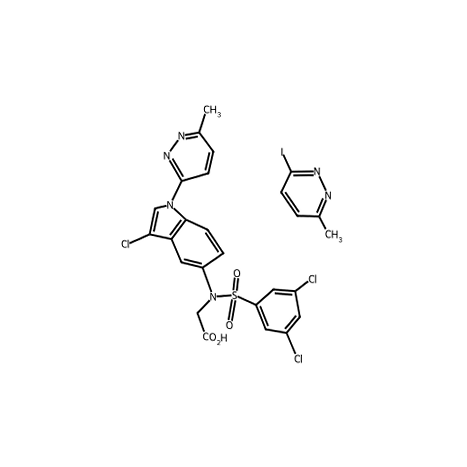 Cc1ccc(-n2cc(Cl)c3cc(N(CC(=O)O)S(=O)(=O)c4cc(Cl)cc(Cl)c4)ccc32)nn1.Cc1ccc(I)nn1